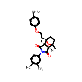 CC(=O)Nc1ccc(OCC[C@@]23CCC(C)(O2)[C@H]2C(=O)N(c4ccc(C#N)c(C(F)(F)F)c4)C(=O)[C@H]23)cc1